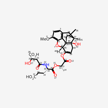 COc1ccc2c3c1O[C@H]1C(OC(=O)[C@H](C)OC(=O)[C@H](CCC(=O)O)NC(=O)C[C@H](O)C(=O)O)=CC[C@@]4(O)[C@@H](C2)C(C)CC[C@]314